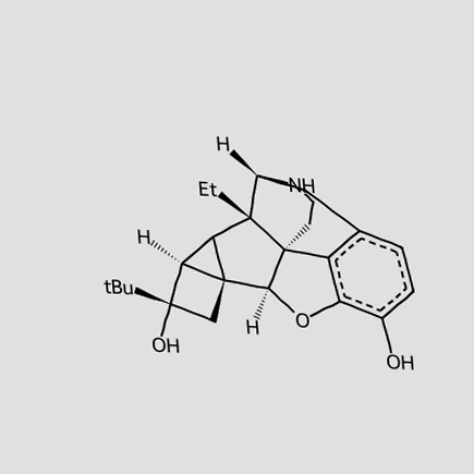 CC[C@]12C3[C@H]4[C@@]3(C[C@@]4(O)C(C)(C)C)[C@@H]3Oc4c(O)ccc5c4[C@@]31CCN[C@@H]2C5